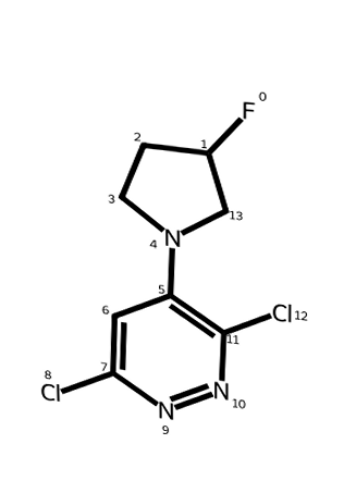 FC1CCN(c2cc(Cl)nnc2Cl)C1